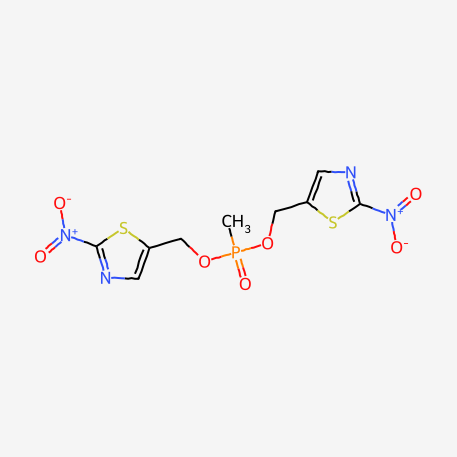 CP(=O)(OCc1cnc([N+](=O)[O-])s1)OCc1cnc([N+](=O)[O-])s1